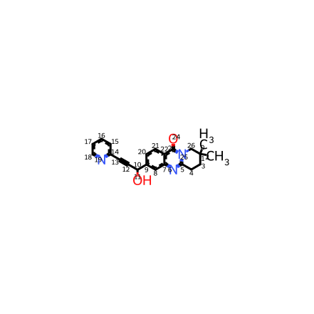 CC1(C)CCc2nc3cc(C(O)C#Cc4ccccn4)ccc3c(=O)n2C1